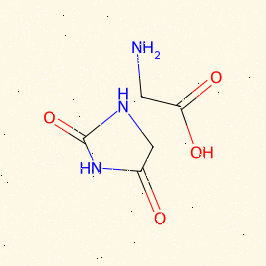 NCC(=O)O.O=C1CNC(=O)N1